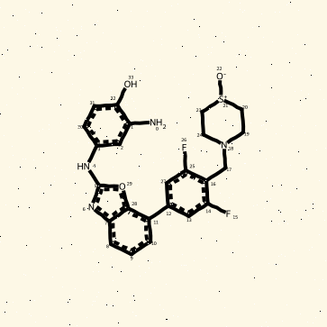 Nc1cc(Nc2nc3cccc(-c4cc(F)c(CN5CC[S+]([O-])CC5)c(F)c4)c3o2)ccc1O